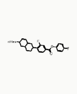 CCCCCCC1CCC2CC(c3ccc(C(=O)Oc4ccc(F)cc4)cc3F)CCC2C1